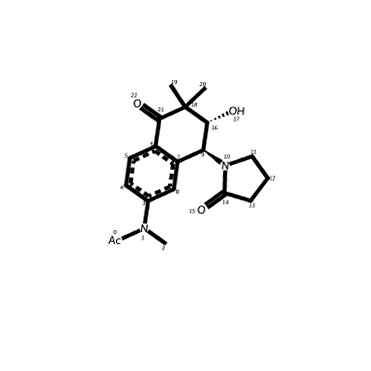 CC(=O)N(C)c1ccc2c(c1)[C@H](N1CCCC1=O)[C@@H](O)C(C)(C)C2=O